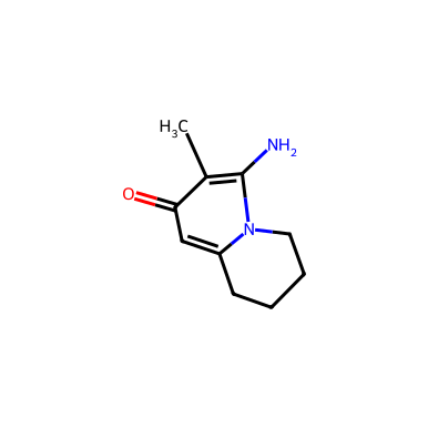 Cc1c(N)n2c(cc1=O)CCCC2